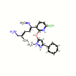 C=N/C(=C\C=C(/C)CN)c1ccc(Cl)nc1Oc1cc(-c2ccccc2)nn1C